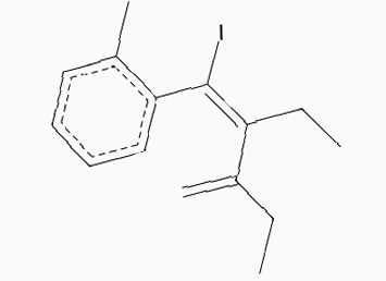 C=C(CC)/C(CC)=C(/I)c1ccccc1C